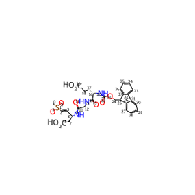 CS(=O)(=O)/C=C/[C@H](CC(=O)O)NC(=O)CNC(=O)[C@H](CCC(=O)O)NC(=O)OCC1c2ccccc2-c2ccccc21